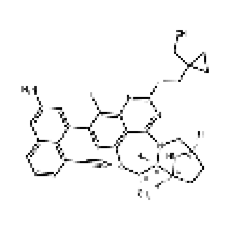 C#Cc1cccc2cc(N)cc(-c3nc4c5c(nc(OCC6(CO)CC6)nc5c3F)N3C[C@H]5CC[C@H](N5)[C@H]3[C@H](C)O4)c12